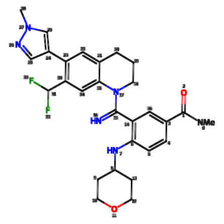 CNC(=O)c1ccc(NC2CCOCC2)c(C(=N)N2CCCc3cc(-c4cnn(C)c4)c(C(F)F)cc32)c1